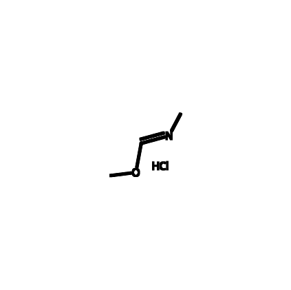 CN=COC.Cl